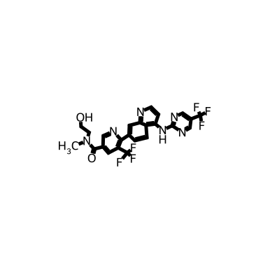 CN(CCO)C(=O)c1cnc(-c2ccc3c(Nc4ncc(C(F)(F)F)cn4)ccnc3c2)c(C(F)(F)F)c1